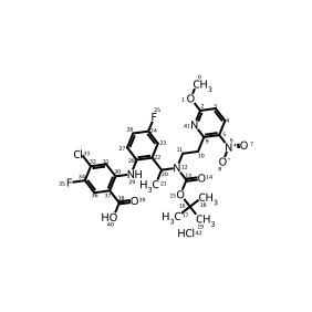 COc1ccc([N+](=O)[O-])c(CCN(C(=O)OC(C)(C)C)C(C)c2cc(F)ccc2Nc2cc(Cl)c(F)cc2C(=O)O)n1.Cl